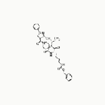 CCCN1C(=O)[C@H](CCCCNC(=O)OCc2ccccc2)NC(=O)C12CCN(C(=O)c1nn(-c3ccccc3)nc1C)CC2